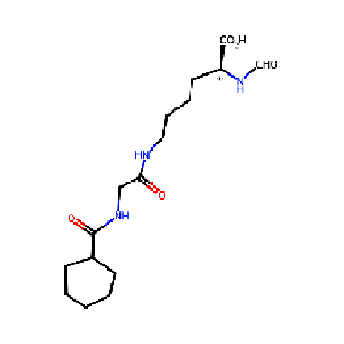 O=CN[C@@H](CCCCNC(=O)CNC(=O)C1CCCCC1)C(=O)O